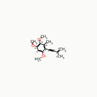 C=C(C)C#Cc1c(OC)cc(OC)c(OC)c1C